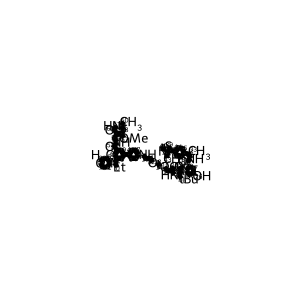 CCN(c1cc(-c2ccc(NCCOCCOCC(=O)NC(C(=O)N3C[C@H](O)C[C@H]3C(=O)N[C@@H](C)c3ccc(-c4scnc4C)cc3)C(C)(C)C)cc2)cc(C(=O)NCc2c(OC)cc(C)[nH]c2=O)c1C)C1CCOCC1